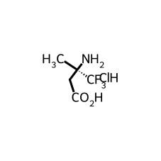 C[C@@](N)(CC(=O)O)C(F)(F)F.Cl